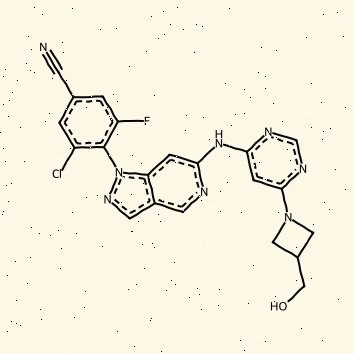 N#Cc1cc(F)c(-n2ncc3cnc(Nc4cc(N5CC(CO)C5)ncn4)cc32)c(Cl)c1